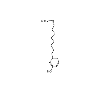 CCCCCC/C=C\CCCCCCCc1cccc(O)c1